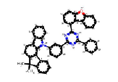 CC1(C)c2ccccc2-c2c1ccc1c3ccccc3n(-c3cccc(-c4nc(-c5ccccc5)nc(-c5cccc6oc7ccccc7c56)n4)c3)c21